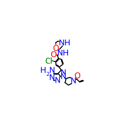 C=CC(=O)N1CCCC(n2nc(-c3ccc(C(=O)NC4CNCCO4)c(Cl)c3)c3c(N)ncnc32)C1